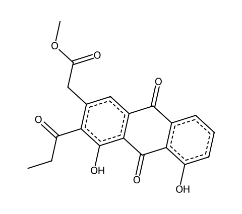 CCC(=O)c1c(CC(=O)OC)cc2c(c1O)C(=O)c1c(O)cccc1C2=O